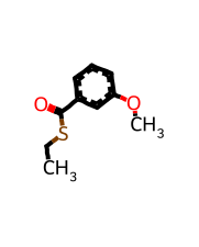 CCSC(=O)c1cccc(OC)c1